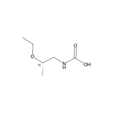 CCO[C@@H](C)CNC(=O)O